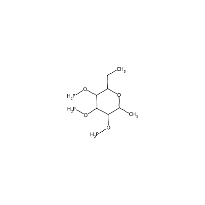 CCC1OC(C)C(OP)C(OP)C1OP